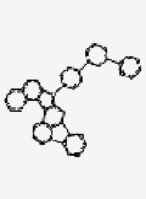 c1ccc(-c2cccc(-c3ccc(-n4c5ccc6ccccc6c5c5c6cccc7c6c(cc54)-c4ccccc4-7)cc3)c2)cc1